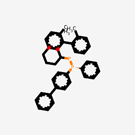 Cc1ccc[c]c1-c1c(C)cccc1[P@](C1CCCCC1)[P@](c1ccccc1)c1ccc(-c2ccccc2)cc1